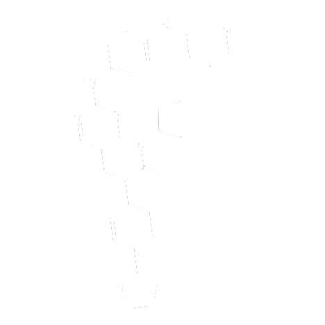 CC1CCC(Nc2ccc(Nc3ncc4cc(-c5ccc(-c6cscn6)cc5C(F)(F)F)c(=O)n(C5CCOC5)c4n3)cc2)CN1